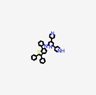 C1=CC(c2cc(-c3ccncc3)cc(-n3c4ccccc4c4c5sc(-c6ccccc6)c(-c6ccccc6)c5ccc43)n2)=CCN1